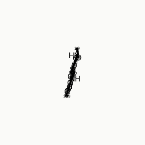 CC(C)C#CCNC(=O)OCCCCOCSSc1ccc(CC(=O)NCCOCCOCCOCCC(C)C)cc1